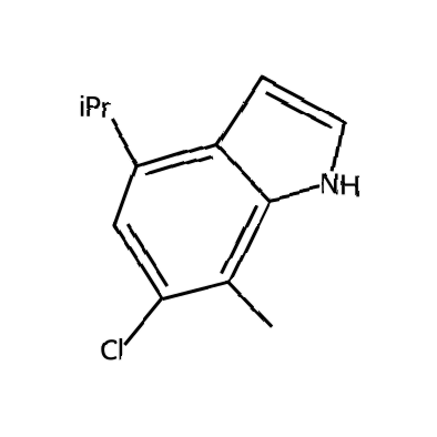 Cc1c(Cl)cc(C(C)C)c2cc[nH]c12